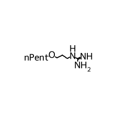 CCCCCOCCCNC(=N)N